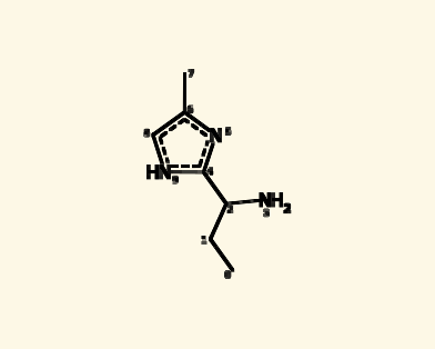 CCC(N)c1nc(C)c[nH]1